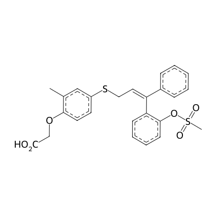 Cc1cc(SC/C=C(/c2ccccc2)c2ccccc2OS(C)(=O)=O)ccc1OCC(=O)O